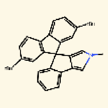 Cn1cc2c(c1)C1(c3ccccc3-2)c2cc(C(C)(C)C)ccc2-c2ccc(C(C)(C)C)cc21